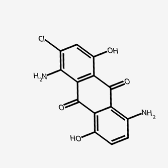 Nc1ccc(O)c2c1C(=O)c1c(O)cc(Cl)c(N)c1C2=O